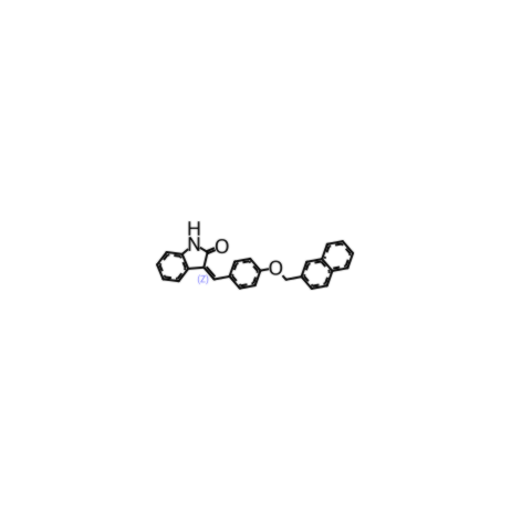 O=C1Nc2ccccc2/C1=C/c1ccc(OCc2ccc3ccccc3c2)cc1